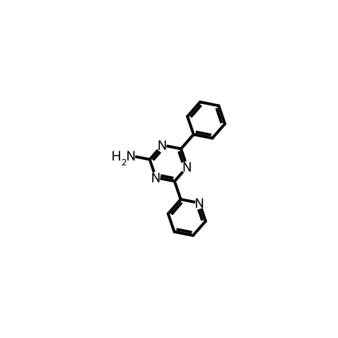 Nc1nc(-c2ccccc2)nc(-c2ccccn2)n1